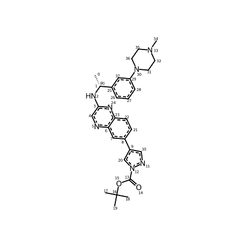 C[C@@H](Nc1cnc2cc(-c3cnn(C(=O)OC(C)(C)C)c3)ccc2n1)c1cccc(N2CCN(C)CC2)c1